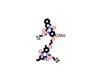 C/C=C1/C[C@H]2C(=O)N(COCC[Si](C)(C)C)c3cc(OCCCOc4cc5c(cc4OC)C(=O)N4Cc6ccccc6CC4C(=O)N5COCC[Si](C)(C)C)c(C)cc3C(=O)N2C1